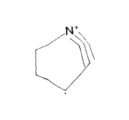 C1#[N+]CC[CH]1